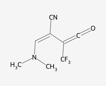 CN(C)C=C(C#N)C(=C=O)C(F)(F)F